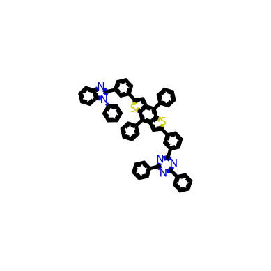 c1ccc(-c2nc(-c3ccccc3)nc(-c3cccc(-c4cc5c(-c6ccccc6)c6sc(-c7cccc(-c8nc9ccccc9n8-c8ccccc8)c7)cc6c(-c6ccccc6)c5s4)c3)n2)cc1